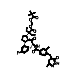 CCC(CC)(C(=O)OCOC(=O)C(C)(C)C)[C@H]1CC[C@@H](c2cccc(F)c2)N1C(=O)[C@@H](C)NC(=O)c1ccc(Cc2cc(C)n[nH]c2=O)c(C)c1